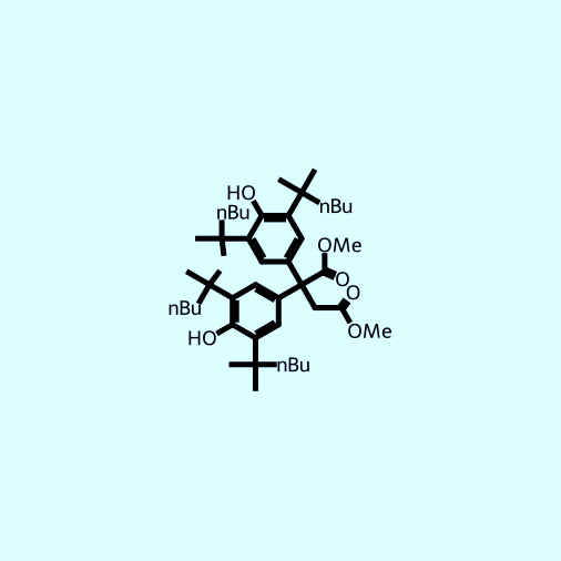 CCCCC(C)(C)c1cc(C(CC(=O)OC)(C(=O)OC)c2cc(C(C)(C)CCCC)c(O)c(C(C)(C)CCCC)c2)cc(C(C)(C)CCCC)c1O